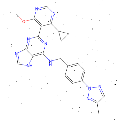 COc1ncnc(C2CC2)c1-c1nc(NCc2ccc(-n3ncc(C)n3)cc2)c2[nH]cnc2n1